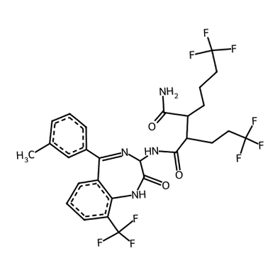 Cc1cccc(C2=NC(NC(=O)C(CCC(F)(F)F)C(CCCC(F)(F)F)C(N)=O)C(=O)Nc3c2cccc3C(F)(F)F)c1